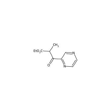 CCOC(=O)C(C)C(=O)c1cnccn1